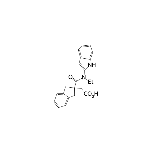 CCN(C(=O)C1(CC(=O)O)Cc2ccccc2C1)c1cc2ccccc2[nH]1